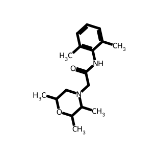 Cc1cccc(C)c1NC(=O)CN1CC(C)OC(C)C1C